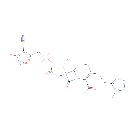 CO[C@@]1(NC(=O)CS(=O)(=O)Cc2onc(O)c2C#N)C(=O)N2C(C(=O)O)=C(CSc3nnnn3C)CS[C@@H]21